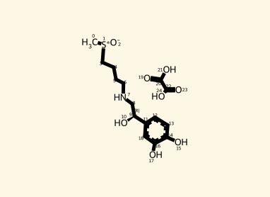 C[S+]([O-])CCCCNC[C@H](O)c1ccc(O)c(O)c1.O=C(O)C(=O)O